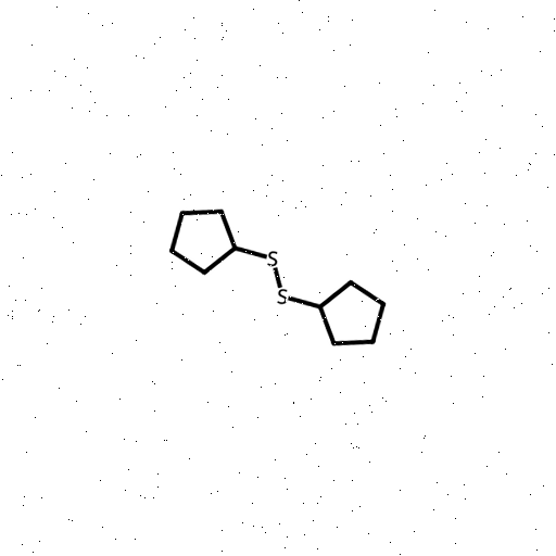 C1CCC(SSC2CCCC2)C1